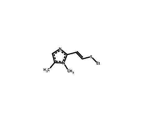 CCSC=Cc1ncc(C)n1C